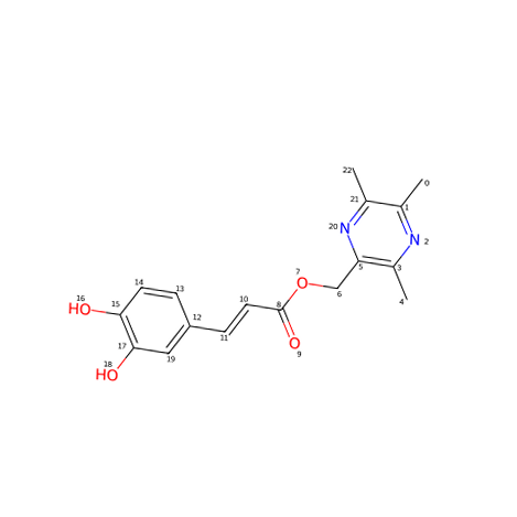 Cc1nc(C)c(COC(=O)/C=C/c2ccc(O)c(O)c2)nc1C